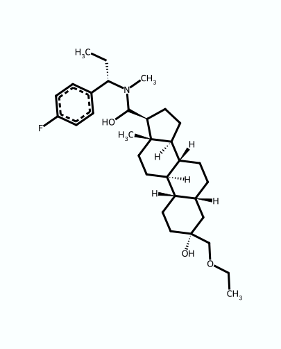 CCOC[C@@]1(O)CC[C@H]2[C@H](CC[C@@H]3[C@@H]2CC[C@]2(C)[C@@H](C(O)N(C)[C@@H](CC)c4ccc(F)cc4)CC[C@@H]32)C1